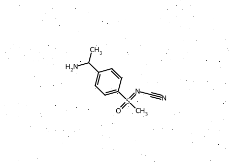 CC(N)c1ccc(S(C)(=O)=NC#N)cc1